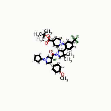 COc1ccc([C@@H]2CN(C3CCCC3)C[C@@]2(F)C(=O)N2CC(c3ccc(C(F)(F)F)cc3N3CCC(C(=O)OC(C)(C)C)CC3)C(C)(C)C2)cc1